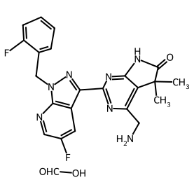 CC1(C)C(=O)Nc2nc(-c3nn(Cc4ccccc4F)c4ncc(F)cc34)nc(CN)c21.O=CO